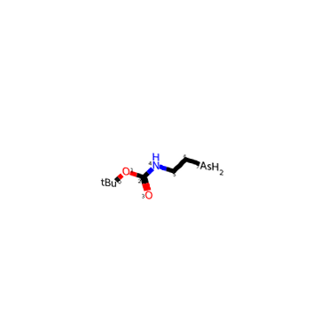 CC(C)(C)OC(=O)NCC[AsH2]